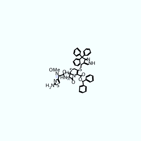 CO/N=C(\C(=O)N[C@@H]1C(=O)N2C(C(=O)OC(c3ccccc3)c3ccccc3)=C(SCc3c[nH]nc3C(c3ccccc3)(c3ccccc3)c3ccccc3)CS[C@@H]12)c1csc(N)n1